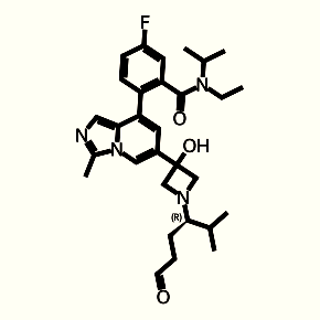 CCN(C(=O)c1cc(F)ccc1-c1cc(C2(O)CN([C@H](CCC=O)C(C)C)C2)cn2c(C)ncc12)C(C)C